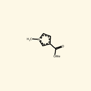 COC(=O)c1ccn(C)c1